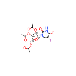 CC(=O)OC[C@H]1O[C@@H](n2cc(I)c(=O)[nH]c2=O)[C@H](OC(C)=O)[C@@H]1OC(C)=O